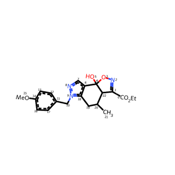 CCOC(=O)C1=NOC2(O)c3cnn(Cc4ccc(OC)cc4)c3CC(C)C12